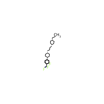 CCC[C@H]1CC[C@H](CCCC[C@H]2CC[C@H](c3ccc(/C(F)=C/F)c(F)c3)CC2)CC1